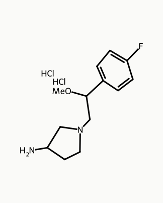 COC(CN1CCC(N)C1)c1ccc(F)cc1.Cl.Cl